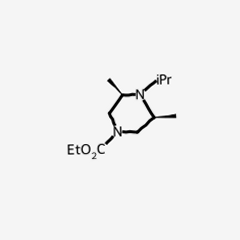 CCOC(=O)N1C[C@@H](C)N(C(C)C)[C@@H](C)C1